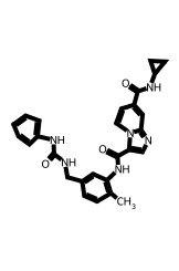 Cc1ccc(CNC(=O)Nc2ccccc2)cc1NC(=O)c1cnc2cc(C(=O)NC3CC3)ccn12